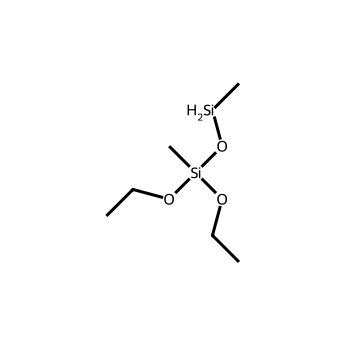 CCO[Si](C)(OCC)O[SiH2]C